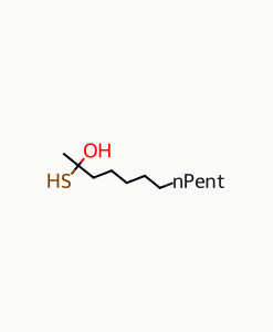 CCCCCCCCCCC(C)(O)S